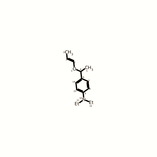 CC=COC(C)c1ccc(N(CC)CC)cc1